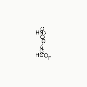 O=C1CCc2cc(OCCCN3CCC(O)(c4ccc(F)cc4)CC3)ccc2N1